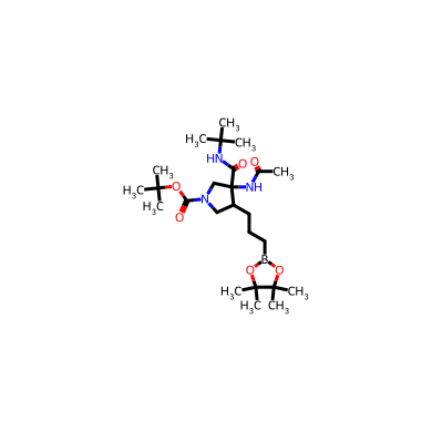 CC(=O)NC1(C(=O)NC(C)(C)C)CN(C(=O)OC(C)(C)C)CC1CCCB1OC(C)(C)C(C)(C)O1